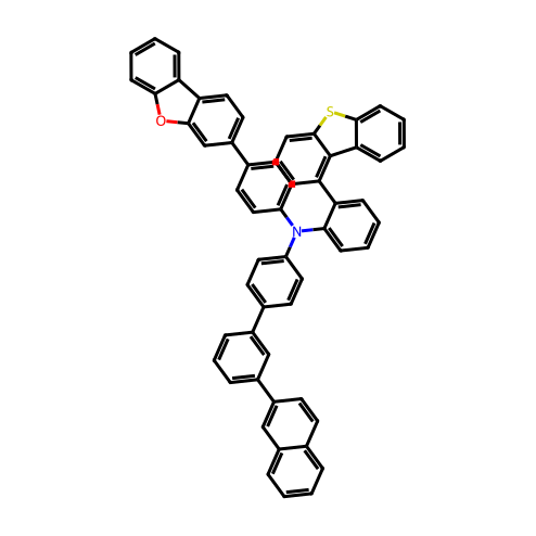 c1cc(-c2ccc(N(c3ccc(-c4ccc5c(c4)oc4ccccc45)cc3)c3ccccc3-c3cccc4sc5ccccc5c34)cc2)cc(-c2ccc3ccccc3c2)c1